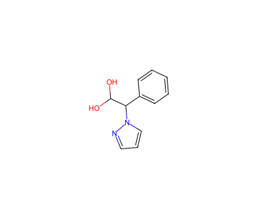 OC(O)C(c1ccccc1)n1cccn1